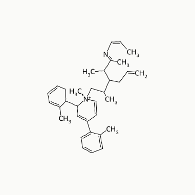 C=CCC(C(C)C[N@+]1(C)C=CC(c2ccccc2C)=CC1C1CC=CC=C1C)C(C)/C(C)=N/C=C\C